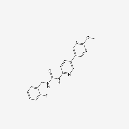 COc1ncc(-c2ccc(NC(=O)NCc3ccccc3F)nc2)cn1